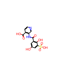 O=C(O)c1ccncc1NC(=O)c1cc(O)cc(S(=O)(=O)O)c1O